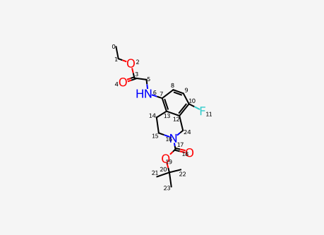 CCOC(=O)CNc1ccc(F)c2c1CCN(C(=O)OC(C)(C)C)C2